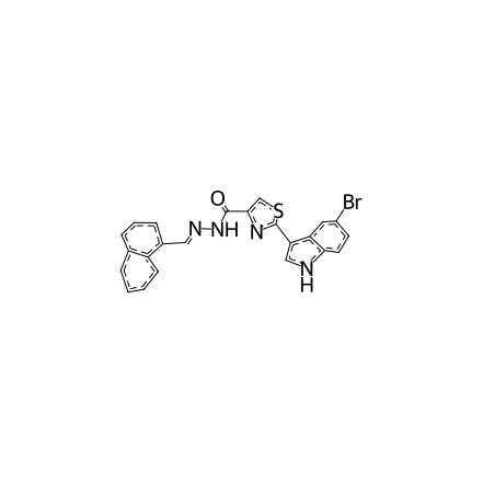 O=C(NN=Cc1cccc2ccccc12)c1csc(-c2c[nH]c3ccc(Br)cc23)n1